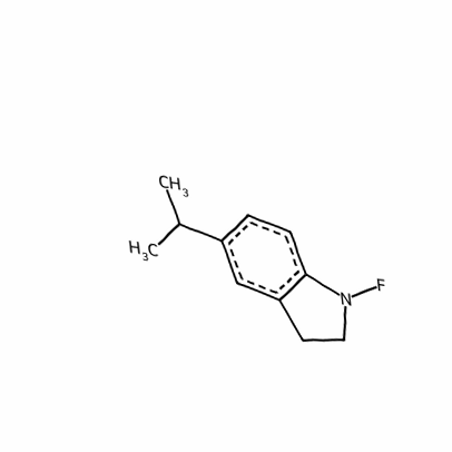 CC(C)c1ccc2c(c1)CCN2F